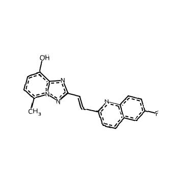 Cc1ccc(O)c2nc(C=Cc3ccc4cc(F)ccc4n3)nn12